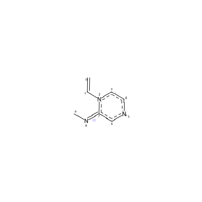 C=Cn1ccnc/c1=N/C